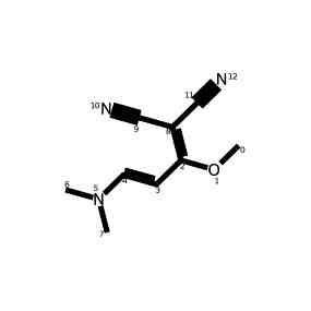 COC(C=CN(C)C)=C(C#N)C#N